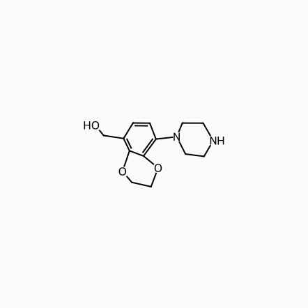 OCc1ccc(N2CCNCC2)c2c1OCCO2